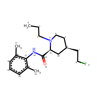 CCCN1CC[C@@H](CCF)C[C@H]1C(=O)Nc1c(C)cccc1C